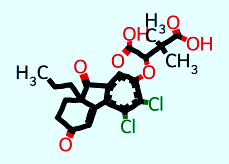 CCCC12CCC(=O)C=C1c1c(cc(OC(C(=O)O)C(C)(C)C(=O)O)c(Cl)c1Cl)C2=O